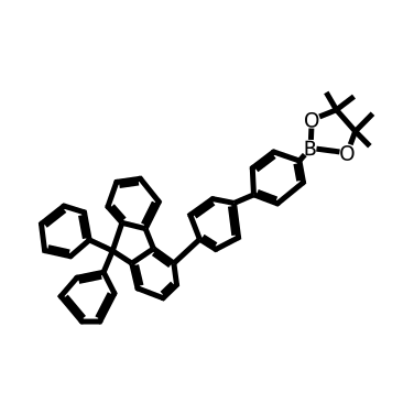 CC1(C)OB(c2ccc(-c3ccc(-c4cccc5c4-c4ccccc4C5(c4ccccc4)c4ccccc4)cc3)cc2)OC1(C)C